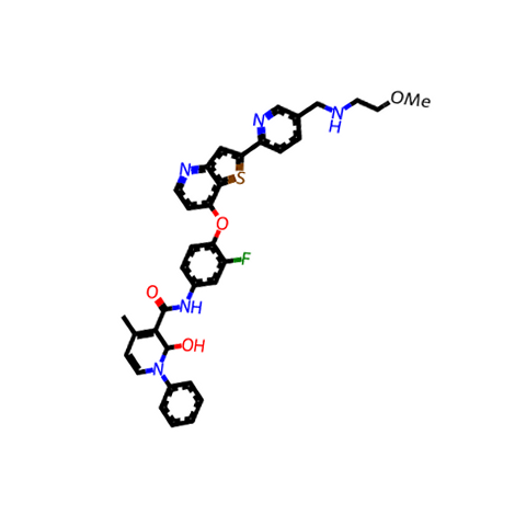 COCCNCc1ccc(-c2cc3nccc(Oc4ccc(NC(=O)C5=C(C)C=CN(c6ccccc6)C5O)cc4F)c3s2)nc1